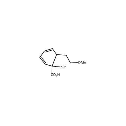 CCCC1(C(=O)O)C=CC=CC1CCOC